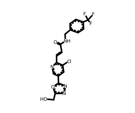 O=C(/C=C/c1ncc(-c2nnc(CO)o2)cc1Cl)NCc1ccc(C(F)(F)F)cc1